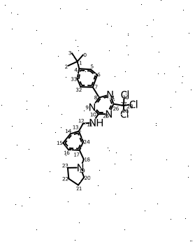 CC(C)(C)c1ccc(-c2nc(NCc3cccc(CN4CCCC4)c3)nc(C(Cl)(Cl)Cl)n2)cc1